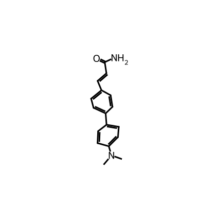 CN(C)c1ccc(-c2ccc(/C=C/C(N)=O)cc2)cc1